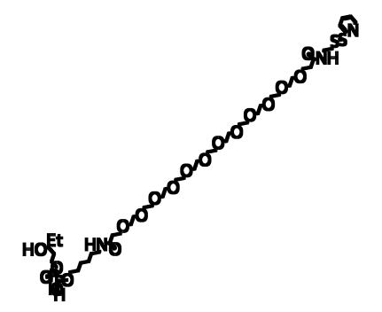 CCC(O)CCO[PH](=O)[PH](=O)OCCCCCCNC(=O)CCOCCOCCOCCOCCOCCOCCOCCOCCOCCOCCOCCOCCC(=O)NCCSSc1ccccn1